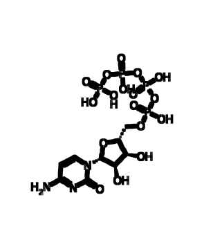 Nc1ccn([C@@H]2O[C@H](COP(=O)(O)OP(=O)(O)OP(=O)(O)OP(=O)(O)O)[C@@H](O)[C@H]2O)c(=O)n1